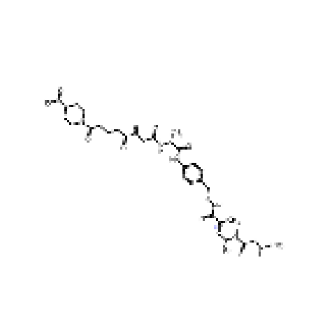 C/C(=C\C(NC(=O)CNC=O)C(C)C)C(=O)NOCc1ccc(NC(=O)C(C)NC(=O)CNC(=O)CCCC(=O)N2CCC(C(=O)S)CC2)cc1